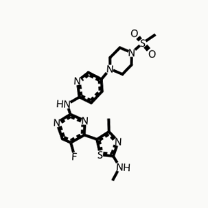 CNc1nc(C)c(-c2nc(Nc3ccc(N4CCN(S(C)(=O)=O)CC4)cn3)ncc2F)s1